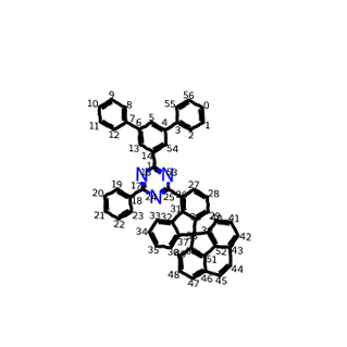 c1ccc(-c2cc(-c3ccccc3)cc(-c3nc(-c4ccccc4)nc(-c4cccc5c4-c4ccccc4C54c5cccc6ccc7cccc4c7c56)n3)c2)cc1